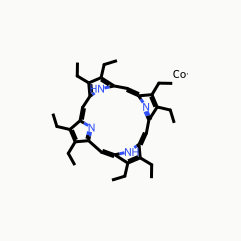 CCC1=C(CC)c2cc3[nH]c(cc4nc(cc5[nH]c(cc1n2)c(CC)c5CC)C(CC)=C4CC)c(CC)c3CC.[Co]